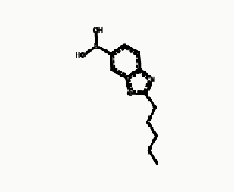 CCCCCc1nc2ccc(B(O)O)cc2o1